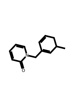 CC1C=C(Cn2ccccc2=O)C=CC1